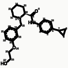 O=C(Nc1ccc(C2CC2)cc1)[C@H]1CCCCN1Cc1cccc(OCCO)c1